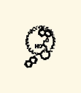 OC(COc1cccc2ncccc12)CN1CC2CC=CCC1CCCCCCCCCCCCCCCCCCCCN2c1ccc2ccccc2c1